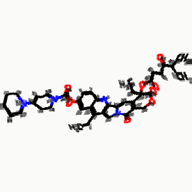 CCc1c2c(nc3ccc(OC(=O)N4CCC(N5CCCCC5)CC4)cc13)-c1cc3c(c(=O)n1C2)COC(=O)[C@@]3(CC)OC(=O)CCC(=O)C(C)C